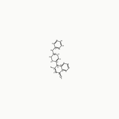 Cc1nc(=O)c2ccccc2n1C1=CCN(Cc2ccccc2)CC1